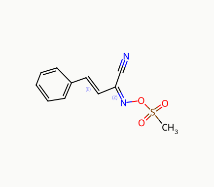 CS(=O)(=O)O/N=C(C#N)/C=C/c1ccccc1